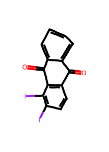 O=C1c2ccccc2C(=O)c2c1ccc(I)c2I